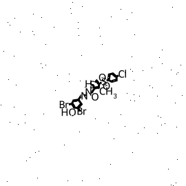 Cc1c(S(=O)(=O)c2ccc(Cl)cc2)csc1C(=O)NN=Cc1cc(Br)c(O)c(Br)c1